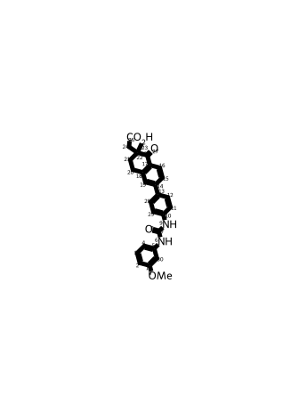 COc1cccc(NC(=O)Nc2ccc(-c3ccc4c(c3)CCC(C)(CC(=O)O)C4=O)cc2)c1